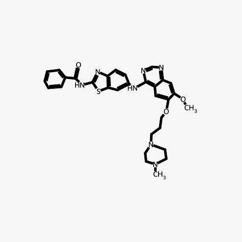 COc1cc2ncnc(Nc3ccc4nc(NC(=O)c5ccccc5)sc4c3)c2cc1OCCCN1CCN(C)CC1